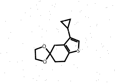 c1sc2c(c1C1CC1)CC1(CC2)OCCO1